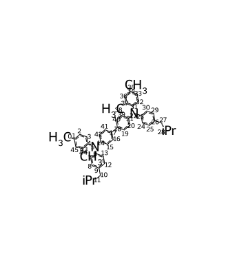 Cc1ccc(N(c2ccc(CC(C)C)cc2)c2ccc(-c3ccc(N(c4ccc(CC(C)C)cc4)c4ccc(C)cc4C)cc3)cc2)c(C)c1